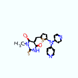 CN1C(=O)/C(=C/c2ccc(N(c3ccncc3)c3ccncc3)s2)C(=O)NC1=S